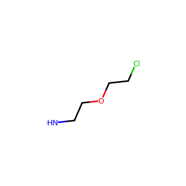 [NH]CCOCCCl